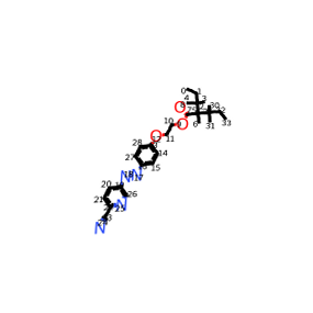 CCC(C)(C)C(C)(C(=O)OCCOc1ccc(/N=N/c2ccc(C#N)nc2)cc1)C(C)(C)CC